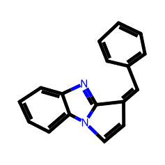 C(/c1ccccc1)=c1\ccn2c1nc1ccccc12